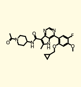 COc1cc(OCC2CC2)c(-c2ncnc3c(C(=O)NC4CCN(C(C)=O)CC4)c(C)[nH]c23)cc1F